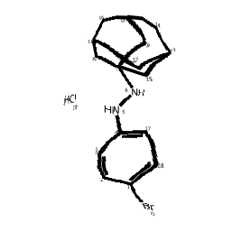 Brc1ccc(NNC23CC4CC(CC(C4)C2)C3)cc1.Cl